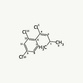 CC(C)/C=C(/Cl)c1ccc(Cl)cc1Cl